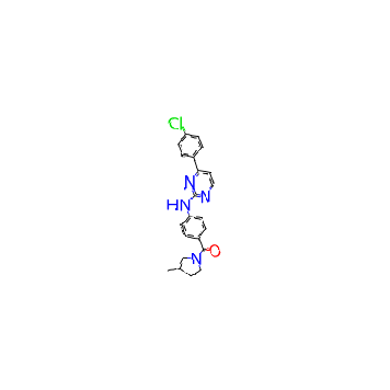 CC1CCN(C(=O)c2ccc(Nc3nccc(-c4ccc(Cl)cc4)n3)cc2)C1